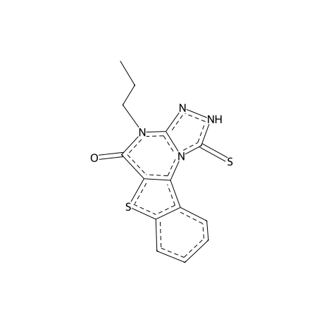 CCCn1c(=O)c2sc3ccccc3c2n2c(=S)[nH]nc12